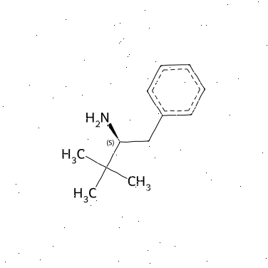 CC(C)(C)[C@@H](N)Cc1ccccc1